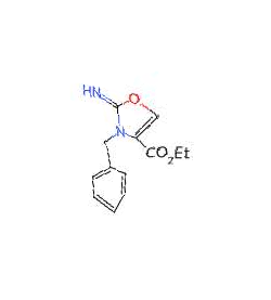 CCOC(=O)c1coc(=N)n1Cc1ccccc1